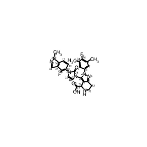 Cc1cc(-n2nc3c(c2-n2ccn(-c4ccc5c(cnn5C)c4F)c2=O)C(C(=O)O)NCC3)cc(C)c1F